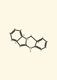 c1ccc2c(c1)Cn1c(cc3ccccc31)O2